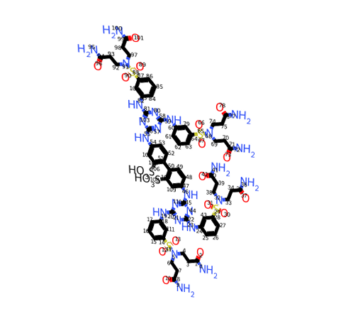 NC(=O)CCN(CCC(N)=O)S(=O)(=O)c1cccc(Nc2nc(Nc3cccc(S(=O)(=O)N(CCC(N)=O)CCC(N)=O)c3)nc(Nc3ccc(-c4ccc(Nc5nc(Nc6cccc(S(=O)(=O)N(CCC(N)=O)CCC(N)=O)c6)nc(Nc6cccc(S(=O)(=O)N(CCC(N)=O)CCC(N)=O)c6)n5)cc4S(=O)(=O)O)c(S(=O)(=O)O)c3)n2)c1